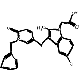 Cc1c(Cc2ccc(=O)n(Cc3ccccc3)c2)c2cc(Cl)ccc2n1CC(=O)O